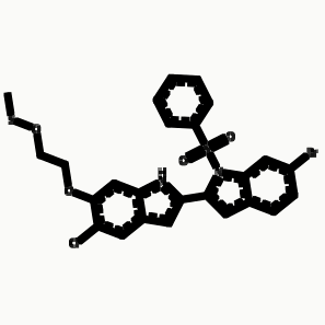 CSOCCOc1cc2[nH]c(-c3cc4ccc(Br)cc4n3S(=O)(=O)c3ccccc3)cc2cc1Cl